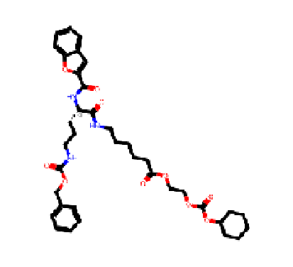 O=C(CCCCCNC(=O)[C@H](CCCNC(=O)OCc1ccccc1)NC(=O)c1cc2ccccc2o1)OCCOC(=O)OC1CCCCC1